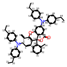 C=CC1=C(/C=C\CN(c2ccc(CC)cc2)c2ccc(CC)cc2)C(OC=O)(c2ccccc2C)c2ccc(N(c3ccc(CC)cc3)c3ccc(CC)cc3)cc2O1